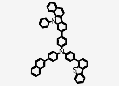 c1ccc(-n2c3cc(-c4ccc(N(c5ccc(-c6ccc7ccccc7c6)cc5)c5ccc(-c6cccc7c6sc6ccccc67)cc5)cc4)ccc3c3ccc4ccccc4c32)cc1